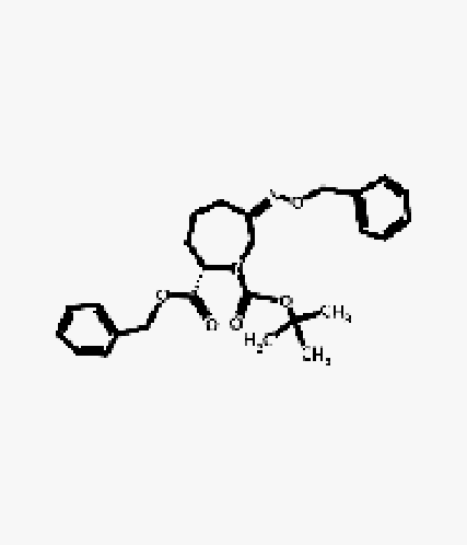 CC(C)(C)OC(=O)N1C/C(=N\OCc2ccccc2)CCC[C@H]1C(=O)OCc1ccccc1